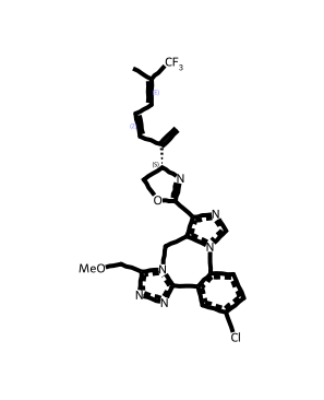 C=C(/C=C\C=C(/C)C(F)(F)F)[C@H]1COC(c2ncn3c2Cn2c(COC)nnc2-c2cc(Cl)ccc2-3)=N1